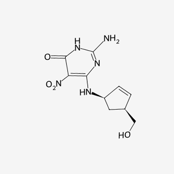 Nc1nc(N[C@H]2C=C[C@@H](CO)C2)c([N+](=O)[O-])c(=O)[nH]1